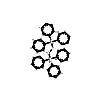 c1ccc([PH](OO[PH](c2ccccc2)(c2ccccc2)c2ccccc2)(c2ccccc2)c2ccccc2)cc1